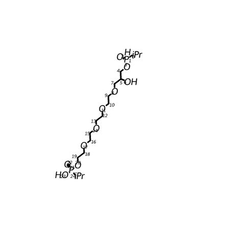 CC(C)[PH](=O)OCC(O)COCCOCCOCCOCCOP(=O)(O)C(C)C